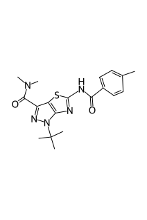 Cc1ccc(C(=O)Nc2nc3c(s2)c(C(=O)N(C)C)nn3C(C)(C)C)cc1